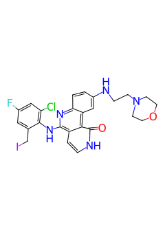 O=c1[nH]ccc2c(Nc3c(Cl)cc(F)cc3CI)nc3ccc(NCCN4CCOCC4)cc3c12